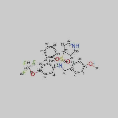 COc1ccc(CN(c2ccc(OC(F)(F)F)cc2)S(=O)(=O)C2(c3ccccc3)CCNCC2)cc1